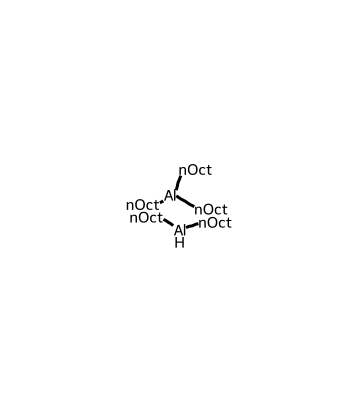 CCCCCCC[CH2][AlH][CH2]CCCCCCC.CCCCCCC[CH2][Al]([CH2]CCCCCCC)[CH2]CCCCCCC